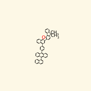 CC1(C)c2ccccc2-c2c1ccc1c2oc2c3ccccc3c(-c3ccc(-c4c5ccccc5c(-c5cccc6ccccc56)c5ccccc45)cc3)cc12